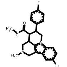 CNC(=O)C1C(c2ccc(F)cc2)Cn2c3c(c4cc(Cl)ccc42)CN(C)CC31